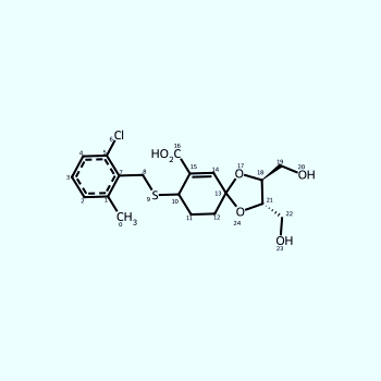 Cc1cccc(Cl)c1CSC1CCC2(C=C1C(=O)O)O[C@@H](CO)[C@H](CO)O2